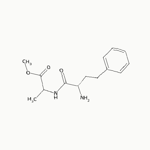 COC(=O)C(C)NC(=O)C(N)CCc1ccccc1